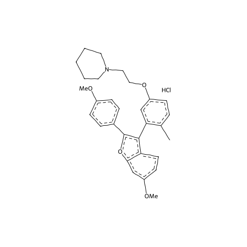 COc1ccc(-c2oc3cc(OC)ccc3c2-c2cc(OCCN3CCCCC3)ccc2C)cc1.Cl